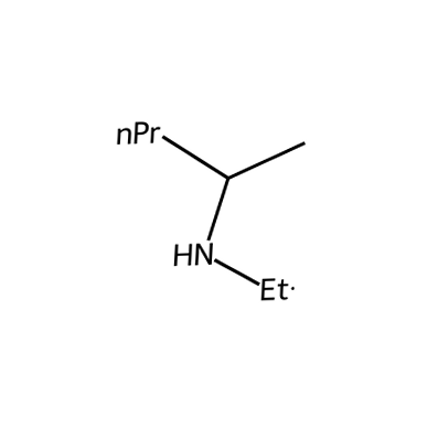 C[CH]NC(C)CCC